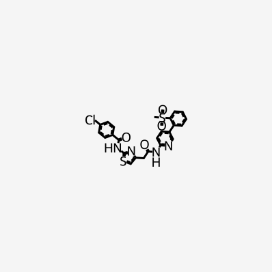 CS(=O)(=O)c1ccccc1-c1ccc(NC(=O)Cc2csc(NC(=O)c3ccc(Cl)cc3)n2)nc1